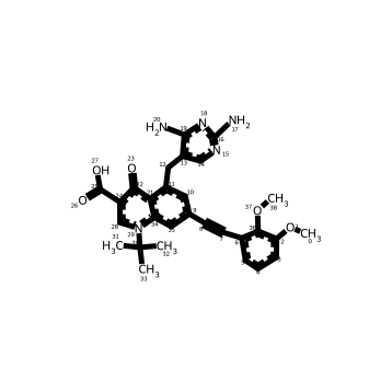 COc1cccc(C#Cc2cc(Cc3cnc(N)nc3N)c3c(=O)c(C(=O)O)cn(C(C)(C)C)c3c2)c1OC